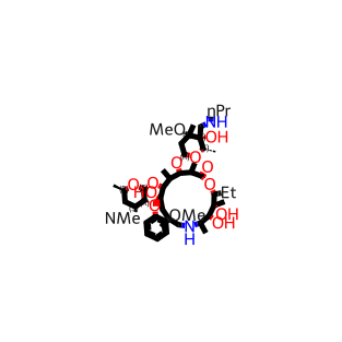 CCCNC[C@]1(O)[C@H](C)O[C@@H](OC2C(C)C(=O)OC(CC)C(C)(O)C(O)C(C)NCC(C)CC(C)(O)C(O[C@@H]3O[C@H](C)C[C@H](NC)[C@H]3Oc3ccccc3OC)C2C)C[C@@]1(C)OC